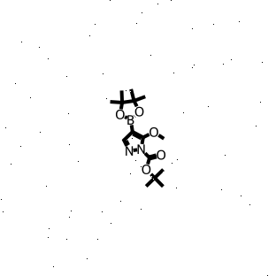 COc1c(B2OC(C)(C)C(C)(C)O2)cnn1C(=O)OC(C)(C)C